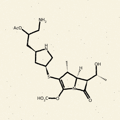 CC(=O)OC(CN)C[C@@H]1C[C@H](SC2=C(OC(=O)O)N3C(=O)[C@H]([C@@H](C)O)[C@@H]3[C@H]2C)CN1